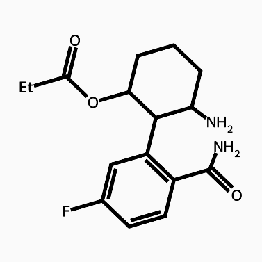 CCC(=O)OC1CCCC(N)C1c1cc(F)ccc1C(N)=O